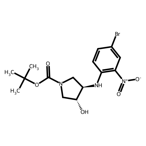 CC(C)(C)OC(=O)N1C[C@@H](O)[C@H](Nc2ccc(Br)cc2[N+](=O)[O-])C1